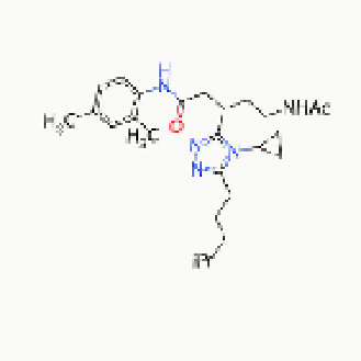 CC(=O)NCCC(CC(=O)Nc1ccc(C)cc1C)c1nnc(CCCC(C)C)n1C1CC1